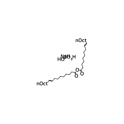 CCCCCCCCC=CCCCCCCCC(=O)OC(=O)CCCCCCCC=CCCCCCCCC.O=S(=O)(O)O.[NaH]